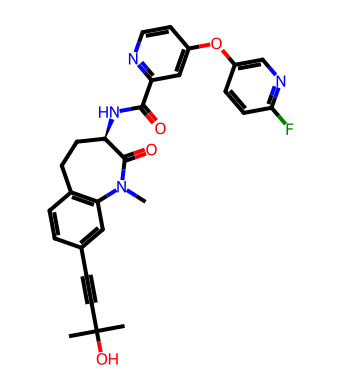 CN1C(=O)[C@H](NC(=O)c2cc(Oc3ccc(F)nc3)ccn2)CCc2ccc(C#CC(C)(C)O)cc21